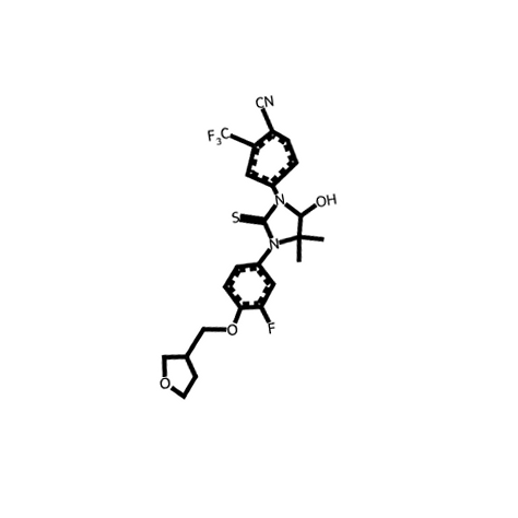 CC1(C)C(O)N(c2ccc(C#N)c(C(F)(F)F)c2)C(=S)N1c1ccc(OCC2CCOC2)c(F)c1